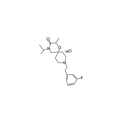 CC1OC2(CCN(CCc3cccc(F)c3)CC2)CN(C(C)C)C1=O.Cl